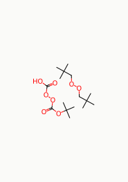 CC(C)(C)COOCC(C)(C)C.CC(C)(C)OC(=O)OOC(=O)O